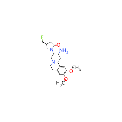 COc1cc2c(cc1OC)C1CC(N)C(N3C[C@@H](CF)CC3=O)CN1CC2